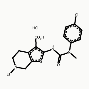 CCN1CCc2c(sc(NC(=O)N(C)c3ccc(Cl)cc3)c2C(=O)O)C1.Cl